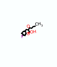 CCCCC(=O)C(Cc1ccc(I)cc1)C(=O)O